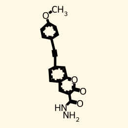 COc1ccc(C#Cc2ccc3cc(C(=O)NN)c(=O)oc3c2)cc1